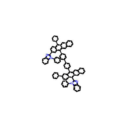 c1ccc(-c2ccc3c(-c4nc5ccccc5n4-c4ccccc4)c4cc5ccccc5cc4c(-c4ccc(-c5ccc(-c6c7cc(-c8nc9ccccc9n8-c8ccccc8)ccc7c(-c7ccccc7)c7cc8ccccc8cc67)cc5)cc4)c3c2)cc1